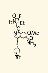 CC[C@@H]1[C@H](F)C(=O)N[C@@H]1COc1ncc(C#CC2CCN(C(C)C)CC2)c2cc(C(N)=O)c(OC)cc12